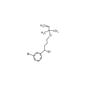 C=CC(C)(C)OCCCC(CC)c1cccc(Br)c1